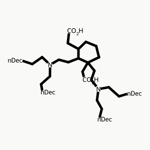 CCCCCCCCCCCCN(CCCCCCCCCCCC)CCC1C(CC(=O)O)CCCC1(CCN(CCCCCCCCCCCC)CCCCCCCCCCCC)CC(=O)O